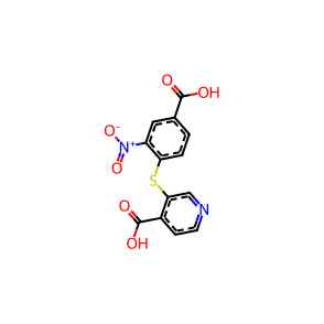 O=C(O)c1ccc(Sc2cnccc2C(=O)O)c([N+](=O)[O-])c1